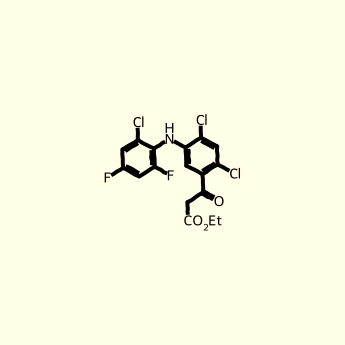 CCOC(=O)CC(=O)c1cc(Nc2c(F)cc(F)cc2Cl)c(Cl)cc1Cl